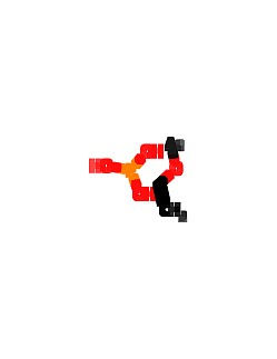 C=COC(C)=O.OP(O)O